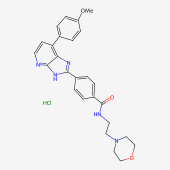 COc1ccc(-c2ccnc3[nH]c(-c4ccc(C(=O)NCCN5CCOCC5)cc4)nc23)cc1.Cl